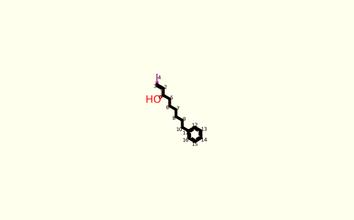 OC(/C=C/I)CCCCCCc1ccccc1